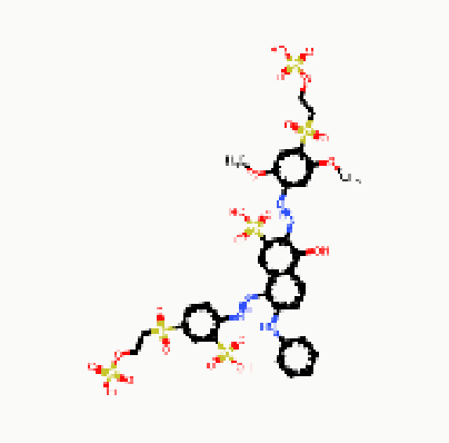 COc1cc(S(=O)(=O)CCOS(=O)(=O)O)c(OC)cc1/N=N/c1c(S(=O)(=O)O)cc2c(/N=N/c3ccc(S(=O)(=O)CCOS(=O)(=O)O)cc3S(=O)(=O)O)c(Nc3ccccc3)ccc2c1O